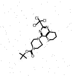 CC(C)(C)OC(=O)N1CCN(c2nc(C(Cl)(Cl)Cl)nc3c2SCCC3)CC1